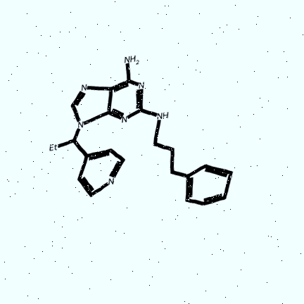 CCC(c1ccncc1)n1cnc2c(N)nc(NCCCc3ccccc3)nc21